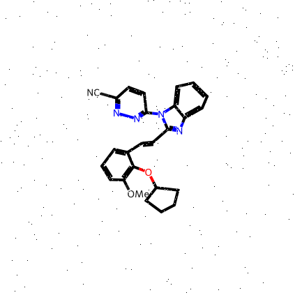 COc1cccc(C=Cc2nc3ccccc3n2-c2ccc(C#N)nn2)c1OC1CCCC1